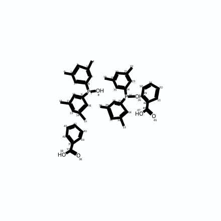 Cc1cc(C)cc(P(O)c2cc(C)cc(C)c2)c1.Cc1cc(C)cc(P(O)c2cc(C)cc(C)c2)c1.O=C(O)c1ccccc1.O=C(O)c1ccccc1